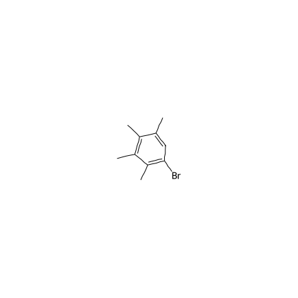 Cc1cc(Br)c(C)c(C)c1C